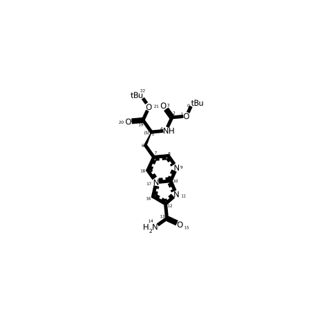 CC(C)(C)OC(=O)N[C@@H](Cc1cnc2nc(C(N)=O)cn2c1)C(=O)OC(C)(C)C